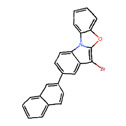 Brc1c2cc(-c3ccc4ccccc4c3)ccc2n2c1oc1ccccc12